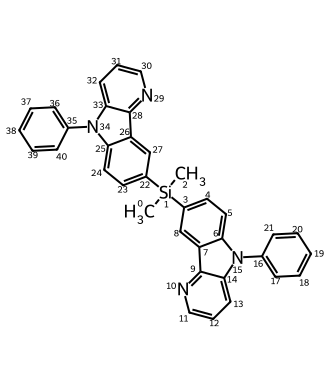 C[Si](C)(c1ccc2c(c1)c1ncccc1n2-c1ccccc1)c1ccc2c(c1)c1ncccc1n2-c1ccccc1